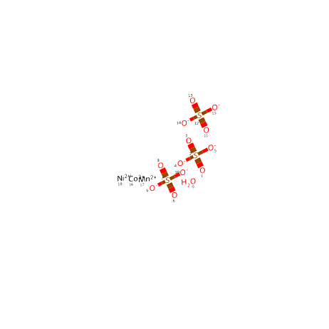 O.O=S(=O)([O-])[O-].O=S(=O)([O-])[O-].O=S(=O)([O-])[O-].[Co+2].[Mn+2].[Ni+2]